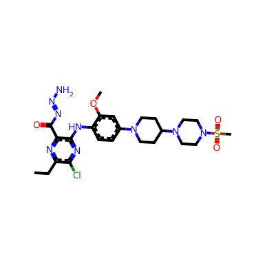 CCc1nc(C(=O)N=NN)c(Nc2ccc(N3CCC(N4CCN(S(C)(=O)=O)CC4)CC3)cc2OC)nc1Cl